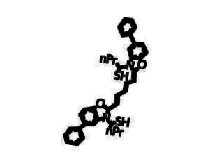 CCCC(S)N1C(=CC=CC=CC2Oc3ccc(-c4ccccc4)cc3N2C(S)CCC)Oc2ccc(-c3ccccc3)cc21